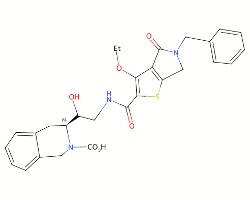 CCOc1c(C(=O)NCC(O)[C@@H]2Cc3ccccc3CN2C(=O)O)sc2c1C(=O)N(Cc1ccccc1)C2